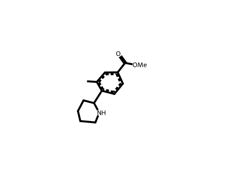 COC(=O)c1ccc(C2CCCCN2)c(C)c1